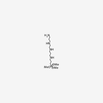 CO[Si](CCCNCCCNCCNCCCN)(OC)OC